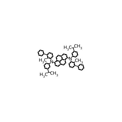 Cc1c(-c2ccccc2)cccc1N(c1cccc(C(C)C)c1)c1ccc2ccc3c(N(c4cccc(C(C)C)c4)c4cccc(-c5ccccc5)c4C)ccc4ccc1c2c43